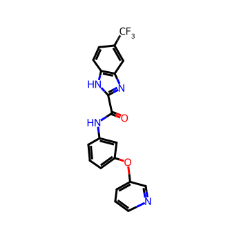 O=C(Nc1cccc(Oc2cccnc2)c1)c1nc2cc(C(F)(F)F)ccc2[nH]1